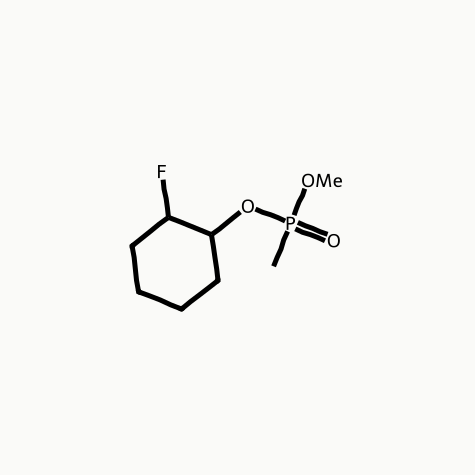 COP(C)(=O)OC1CCCCC1F